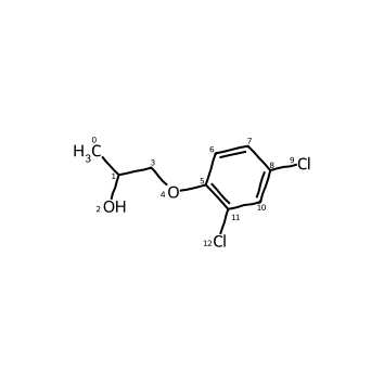 CC(O)COc1ccc(Cl)cc1Cl